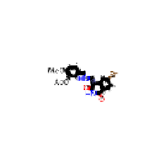 COc1ccc(CN/C=C2\C(=O)NC(=O)c3ccc(Br)cc32)cc1OC(C)=O